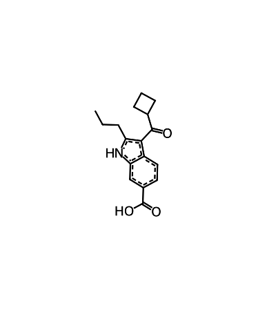 CCCc1[nH]c2cc(C(=O)O)ccc2c1C(=O)C1CCC1